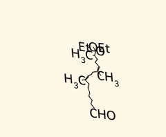 CCOC(OCC)C(C)CCC=C(C)CCC=C(C)CCCCCCCC=O